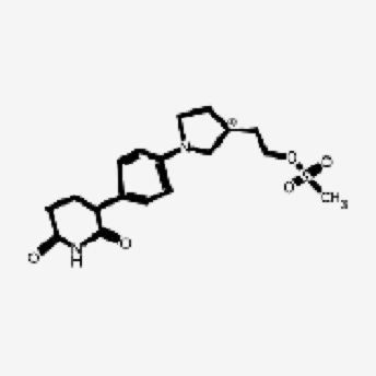 CS(=O)(=O)OCC[C@@H]1CCN(c2ccc(C3CCC(=O)NC3=O)cc2)C1